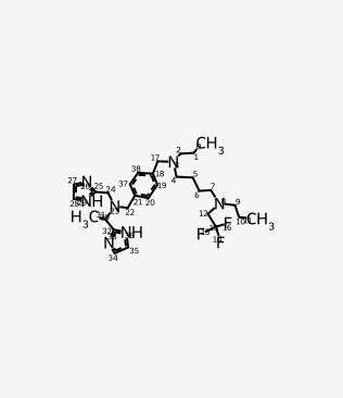 CCCN(CCCCN(CCC)CC(F)(F)F)Cc1ccc(CN(Cc2ncc[nH]2)C(C)c2ncc[nH]2)cc1